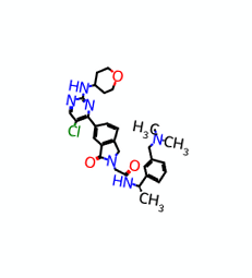 C[C@@H](NC(=O)CN1Cc2ccc(-c3nc(NC4CCOCC4)ncc3Cl)cc2C1=O)c1cccc(CN(C)C)c1